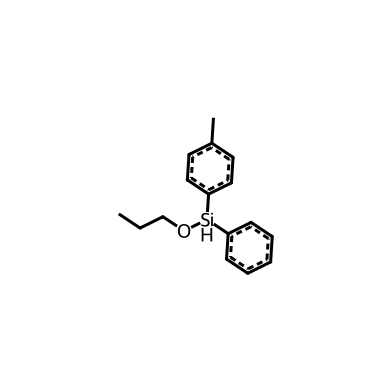 CCCO[SiH](c1ccccc1)c1ccc(C)cc1